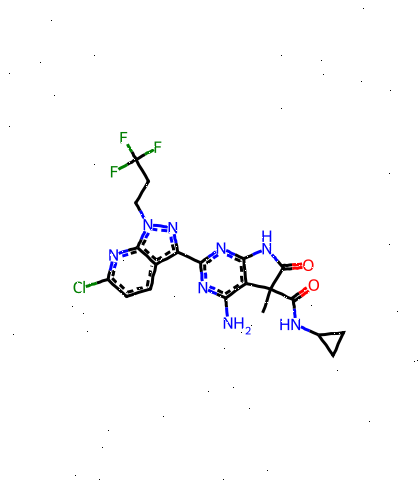 CC1(C(=O)NC2CC2)C(=O)Nc2nc(-c3nn(CCC(F)(F)F)c4nc(Cl)ccc34)nc(N)c21